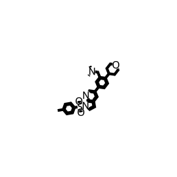 Cc1ccc(S(=O)(=O)n2ccc3cc(-c4ccc(C5CCOCC5)c(CN(C)C)c4)cnc32)cc1